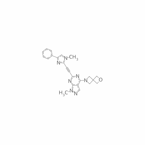 Cn1cc(-c2ccccc2)nc1C#Cc1nc(N2CC3(COC3)C2)c2cnn(C)c2n1